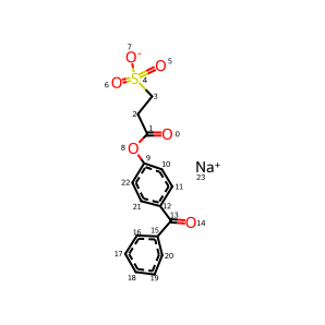 O=C(CCS(=O)(=O)[O-])Oc1ccc(C(=O)c2ccccc2)cc1.[Na+]